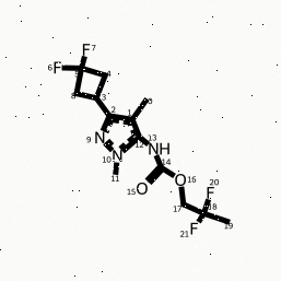 Cc1c(C2CC(F)(F)C2)nn(C)c1NC(=O)OCC(C)(F)F